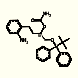 CC(C)(C)[Si](OC[C@H](CCc1ccccc1N)OC(N)=O)(c1ccccc1)c1ccccc1